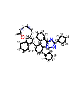 C=C1/C=C\C=C/Cc2cc(-c3ccc(-c4ccccc4-c4nc(-c5ccccc5)nc(-c5ccccc5)n4)cc3)c3ccccc3c2O1